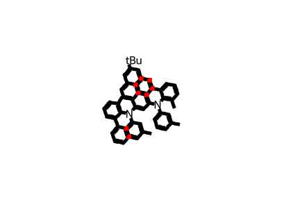 Cc1cccc(N(c2c(C)cccc2-c2ccccc2)c2cc(N(c3cccc(C)c3)c3c(C)cccc3-c3ccccc3)c3ccc4cc(C(C)(C)C)cc5ccc2c3c54)c1